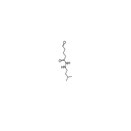 CC(C)CCNNC(=O)CCCC=O